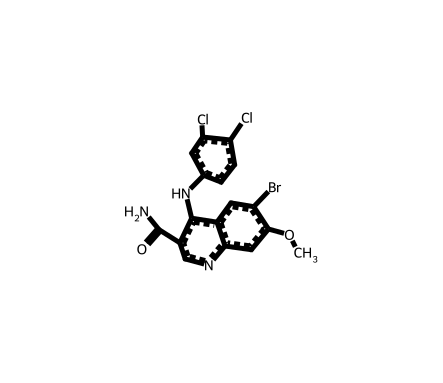 COc1cc2ncc(C(N)=O)c(Nc3ccc(Cl)c(Cl)c3)c2cc1Br